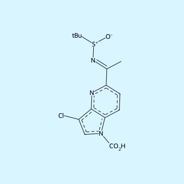 CC(=N[S+]([O-])C(C)(C)C)c1ccc2c(n1)c(Cl)cn2C(=O)O